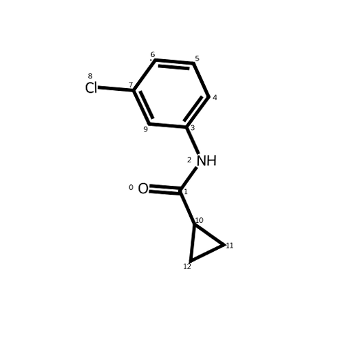 O=C(Nc1cc[c]c(Cl)c1)C1CC1